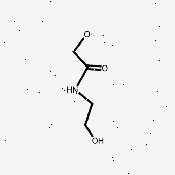 [O]CC(=O)NCCO